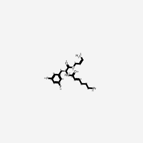 C/C=C\COC(=O)[C@H](Cc1cc(F)cc(F)c1)NC(=O)/C=C/CCCC(C)C